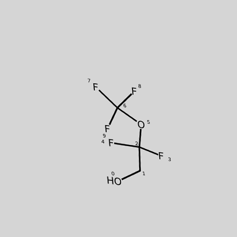 OCC(F)(F)OC(F)(F)F